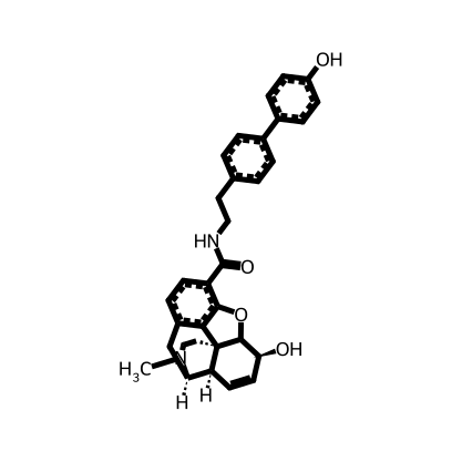 CN1CC[C@]23c4c5ccc(C(=O)NCCc6ccc(-c7ccc(O)cc7)cc6)c4OC2[C@@H](O)C=C[C@H]3[C@H]1C5